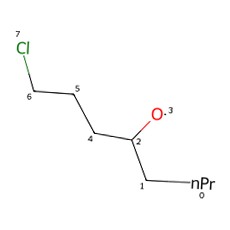 CCCCC([O])CCCCl